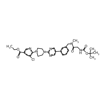 CCOC(=O)c1cnc(N2CCN(c3ncc(-c4cccc(CN(C)C(=O)CNC(=O)OC(C)(C)C)c4)cn3)CC2)c(Cl)c1